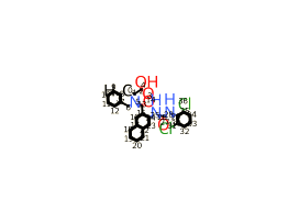 CC(C(=O)O)N(Cc1ccccc1)C(=O)c1cc2ccccc2cc1NC(=O)Nc1c(Cl)cccc1Cl